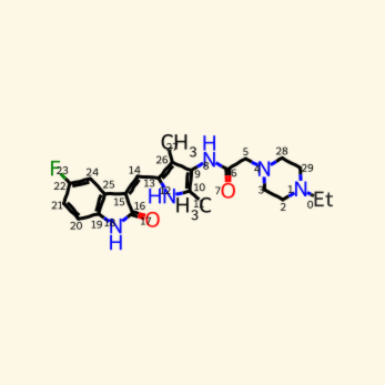 CCN1CCN(CC(=O)Nc2c(C)[nH]c(/C=C3\C(=O)Nc4ccc(F)cc43)c2C)CC1